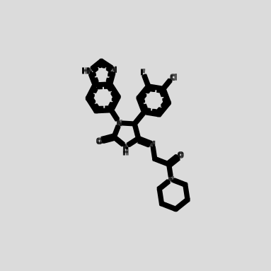 O=C(CN=C1NC(=O)N(c2ccc3[nH]cnc3c2)C1c1ccc(Cl)c(F)c1)N1CCCCC1